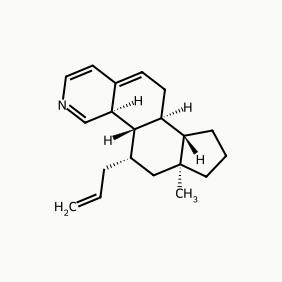 C=CC[C@H]1C[C@]2(C)CCC[C@H]2[C@@H]2CC=C3C=CN=C[C@@H]3[C@@H]12